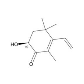 C=CC1=C(C)C(=O)[C@@H](O)CC1(C)C